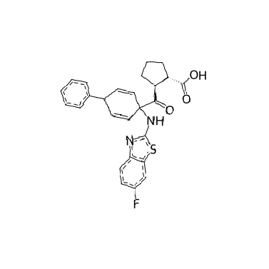 O=C(O)[C@H]1CCC[C@@H]1C(=O)C1(Nc2nc3ccc(F)cc3s2)C=CC(c2ccccc2)C=C1